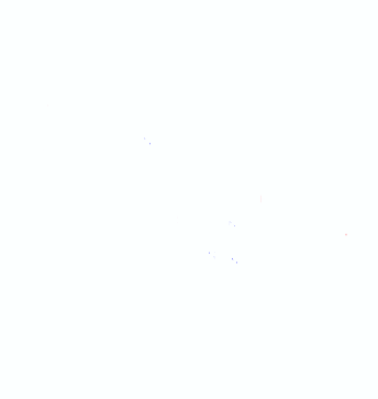 CC(C)c1cc(-c2nnc(O)n2Cc2ccc(CNCc3ccc4c(c3)OCCO4)cc2)c(O)cc1O